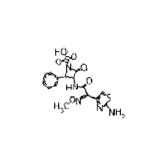 CON=C(C(=O)NC1C(=O)N(S(=O)(=O)O)C1c1ccccc1)c1csc(N)n1